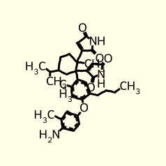 CCCCc1cc(C2(C3=CC(=O)NC3=O)CC(C(C)C)CCC2(C)C2=CC(=O)NC2=O)c(C)cc1Oc1ccc(N)c(C)c1